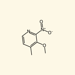 COc1c(C)ccnc1[N+](=O)[O-]